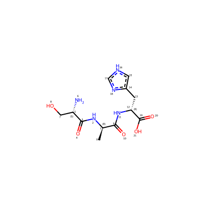 C[C@@H](NC(=O)[C@@H](N)CO)C(=O)N[C@H](Cc1c[nH]cn1)C(=O)O